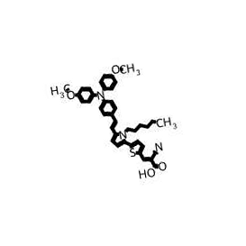 CCCCCCn1c(/C=C/c2ccc(N(c3ccc(OC)cc3)c3ccc(OC)cc3)cc2)ccc1-c1ccc(/C=C(\C#N)C(=O)O)s1